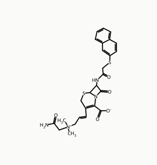 C[N+](C)(CC=CC1=C(C(=O)[O-])N2C(=O)C(NC(=O)CSc3ccc4ccccc4c3)C2SC1)CC(N)=O